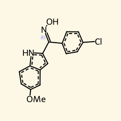 COc1ccc2[nH]c(/C(=N/O)c3ccc(Cl)cc3)cc2c1